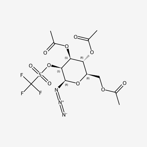 CC(=O)OC[C@H]1O[C@@H](N=[N+]=[N-])[C@@H](OS(=O)(=O)C(F)(F)F)[C@@H](OC(C)=O)[C@@H]1OC(C)=O